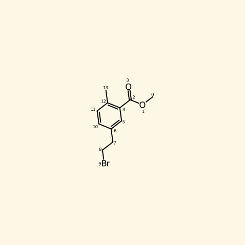 COC(=O)c1cc(CCBr)ccc1C